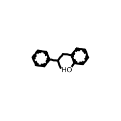 CC(Cc1ccccc1O)c1ccccc1